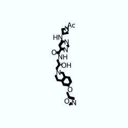 CC(=O)N1CC(Nc2cc(C(=O)NC[C@H](O)CN3CCc4cc(OCc5cnco5)ccc4C3)ncn2)C1